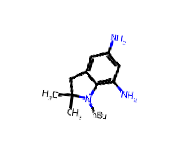 CCCCN1c2c(N)cc(N)cc2CC1(C)C